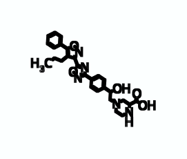 CCCc1c(-c2nc(-c3ccc(C(O)CN4CCNC(C(=O)O)C4)cc3)no2)noc1-c1ccccc1